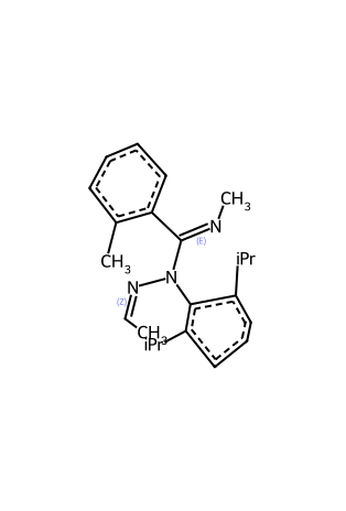 C/C=N\N(/C(=N/C)c1ccccc1C)c1c(C(C)C)cccc1C(C)C